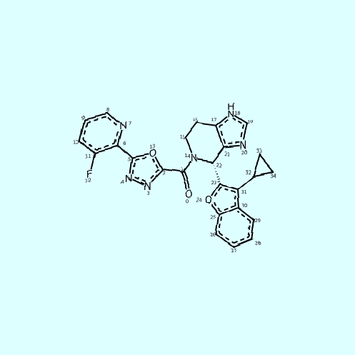 O=C(c1nnc(-c2ncccc2F)o1)N1CCc2[nH]cnc2[C@@H]1c1oc2ccccc2c1C1CC1